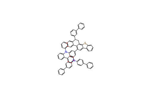 c1ccc(-c2ccc(N(c3ccc(-c4ccccc4)cc3)c3cc(-c4cc5c(sc6ccccc65)c5c4-c4ccccc4C(c4cccc(-c6ccccc6)c4)C5)cc(N(c4ccccc4)c4ccccc4-c4ccccc4)c3)cc2)cc1